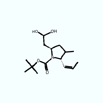 C/C=C\[C@H]1C(C)C[C@H](CC(O)O)N1C(=O)OC(C)(C)C